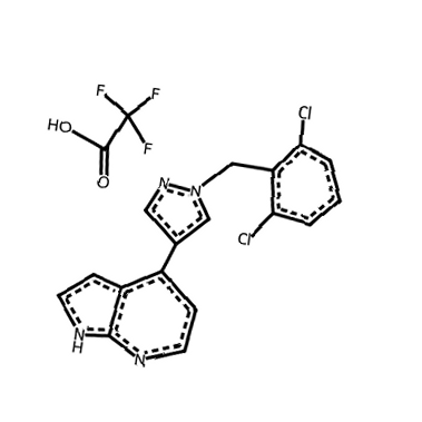 Clc1cccc(Cl)c1Cn1cc(-c2ccnc3[nH]ccc23)cn1.O=C(O)C(F)(F)F